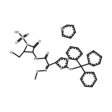 CO/N=C(\C(=O)NC1C(=O)N(S(=O)(=O)O)C1CCl)c1csc(NC(c2ccccc2)(c2ccccc2)c2ccccc2)n1.c1ccncc1